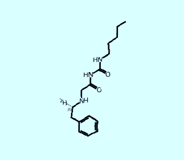 [2H][C@@H](Cc1ccccc1)NCC(=O)NC(=O)NCCCCC